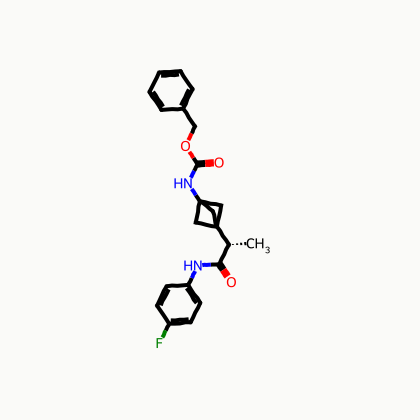 C[C@H](C(=O)Nc1ccc(F)cc1)C12CC(NC(=O)OCc3ccccc3)(C1)C2